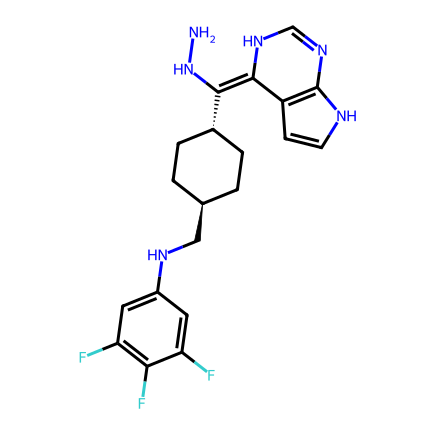 NN/C(=C1\NC=Nc2[nH]ccc21)[C@H]1CC[C@H](CNc2cc(F)c(F)c(F)c2)CC1